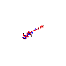 CC(C)(C)OC(=O)CCOCCOCCOCCNC(=O)CCCCCCCCCCCNC(=O)[C@@H]1CN(C(=O)c2ccc(C(=O)N3C[C@@H](C(=O)N[C@H]4C[C@@H]4c4ccccc4)[C@H](C(=O)N[C@H]4C[C@@H]4c4ccccc4)C3)cc2)C[C@H]1C(=O)N[C@H]1C[C@@H]1c1ccccc1